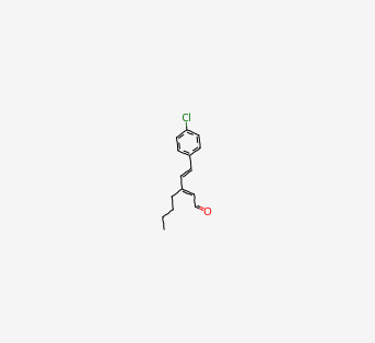 CCCCC(C=Cc1ccc(Cl)cc1)=CC=O